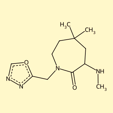 CNC1CC(C)(C)CCN(Cc2nnco2)C1=O